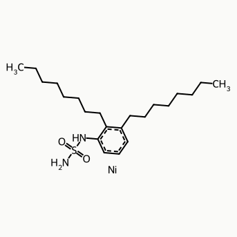 CCCCCCCCc1cccc(NS(N)(=O)=O)c1CCCCCCCC.[Ni]